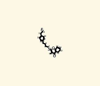 Cc1c(SCCCCc2ccc(CCF)cc2)oc2c(c1=O)CCC=C2